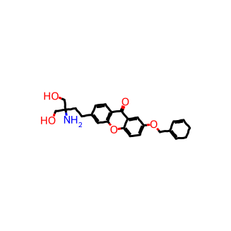 NC(CO)(CO)CCc1ccc2c(=O)c3cc(OCC4=CCCC=C4)ccc3oc2c1